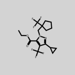 CCOC(=O)c1c(C(F)(F)F)c(C2CC2)nn1CC1(C(F)(F)F)CCCC1